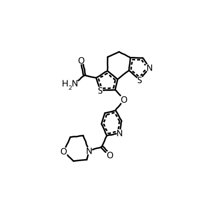 NC(=O)c1sc(Oc2ccc(C(=O)N3CCOCC3)nc2)c2c1CCc1cnsc1-2